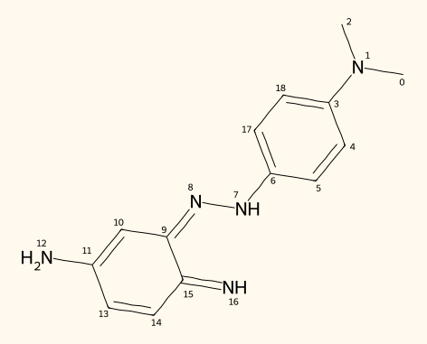 CN(C)c1ccc(N/N=C2/C=C(N)C=CC2=N)cc1